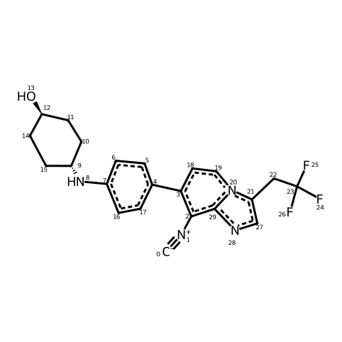 [C-]#[N+]c1c(-c2ccc(N[C@H]3CC[C@H](O)CC3)cc2)ccn2c(CC(F)(F)F)cnc12